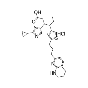 CCC(c1csc(CCCc2ccc3c(n2)NCCC3)n1)C(CC(=O)O)c1cnc(C2CC2)s1.Cl